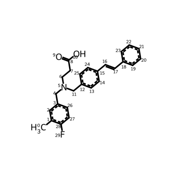 Cc1cc(CN(CCC(=O)O)Cc2ccc(C=Cc3ccccc3)cc2)ccc1F